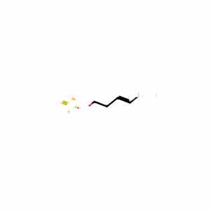 CCCCC=CCCOS(=O)(O)=S